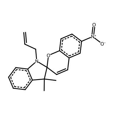 C=CCN1c2ccccc2C(C)(C)C12C=Cc1cc([N+](=O)[O-])ccc1O2